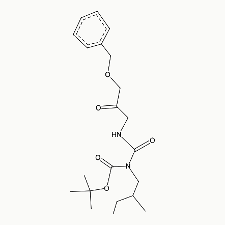 CCC(C)CN(C(=O)NCC(=O)COCc1ccccc1)C(=O)OC(C)(C)C